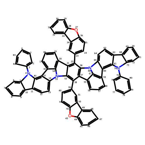 c1ccc(-n2c3ccccc3c3ccc4c(c5cccc6c7c(-c8ccc9oc%10ccccc%10c9c8)c8c(c(-c9ccc%10oc%11ccccc%11c%10c9)c7n4c65)c4cccc5c6c7c(ccc6n8c45)c4ccccc4n7-c4ccccc4)c32)cc1